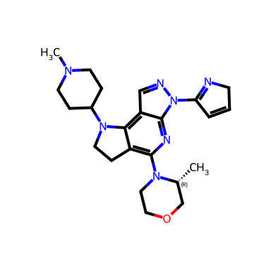 C[C@@H]1COCCN1c1nc2c(cnn2C2=NCC=C2)c2c1CCN2C1CCN(C)CC1